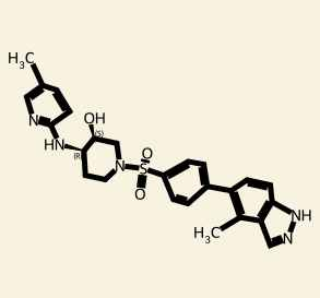 Cc1ccc(N[C@@H]2CCN(S(=O)(=O)c3ccc(-c4ccc5[nH]ncc5c4C)cc3)C[C@@H]2O)nc1